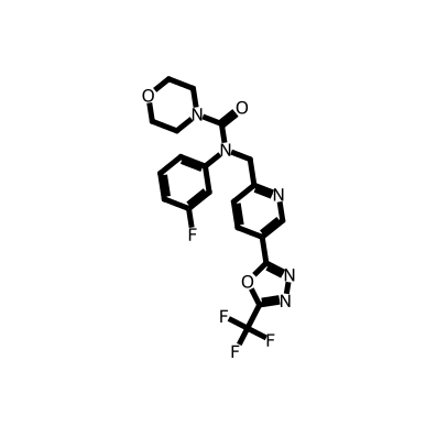 O=C(N1CCOCC1)N(Cc1ccc(-c2nnc(C(F)(F)F)o2)cn1)c1cccc(F)c1